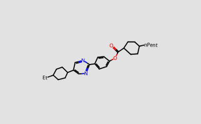 CCCCCC1CCC(C(=O)Oc2ccc(-c3ncc(C4CCC(CC)CC4)cn3)cc2)CC1